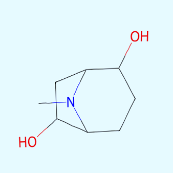 CN1C2CCC(O)C1CC2O